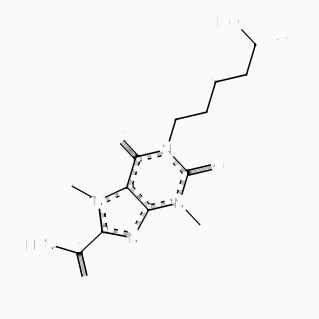 C[C@@H](O)CCCCn1c(=O)c2c(nc(C(N)=O)n2C)n(C)c1=O